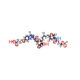 CC(=O)O[C@@H](C)C=CC(=O)N[C@@H]1C[C@H](C)[C@H](CC=C(C)C=C[C@H]2O[C@H](CC(=O)NN=C(C)c3ccc(OCCCC(=O)O)cc3)C[C@@]3(CO3)[C@@H]2O)O[C@@H]1C